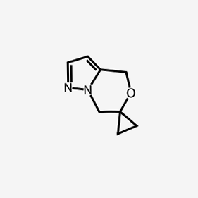 c1cc2n(n1)CC1(CC1)OC2